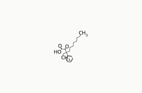 CCCCCCCCC(CC)(C(=O)C(=O)O)c1ccccc1